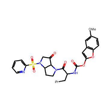 COc1ccc2oc(OC(=O)NC(CC(C)C)C(=O)N3CCC4C3C(=O)CN4S(=O)(=O)c3ccccn3)cc2c1